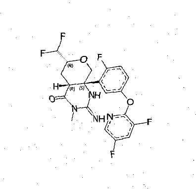 CN1C(=N)N[C@@]2(c3cc(Oc4ncc(F)cc4F)ccc3F)CO[C@@H](C(F)F)C[C@H]2C1=O